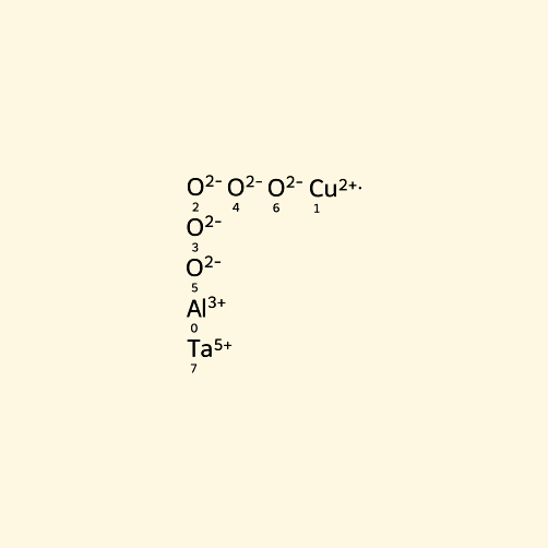 [Al+3].[Cu+2].[O-2].[O-2].[O-2].[O-2].[O-2].[Ta+5]